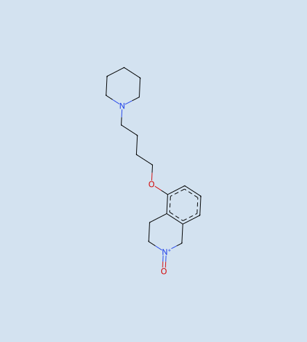 O=[N+]1CCc2c(cccc2OCCCCN2CCCCC2)C1